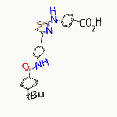 CC(C)(C)c1ccc(C(=O)Nc2ccc(-c3csc(Nc4ccc(C(=O)O)cc4)n3)cc2)cc1